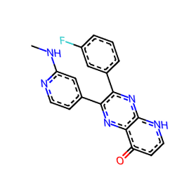 CNc1cc(-c2nc3c(=O)cc[nH]c3nc2-c2cccc(F)c2)ccn1